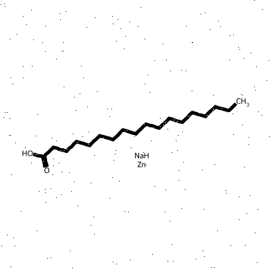 CCCCCCCCCCCCCCCCCC(=O)O.[NaH].[Zn]